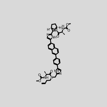 C=CCCN(Cc1ncc(-c2ccc(-c3ccc4cc(-c5cnc(C6[C@H]7CC[C@H](C7)N6C(=O)[C@H](C)NC(=O)OC)[nH]5)ccc4c3)cc2)[nH]1)C(=O)[C@H](C)NC(=O)OC